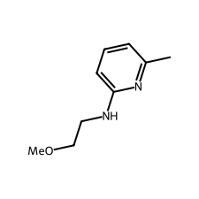 COCCNc1cccc(C)n1